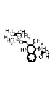 C[C@H]1[C@H](CO[Si](C)(C)C(C)(C)C)Nc2ccccc2[C@@H]1NC(=O)O